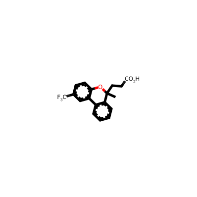 CC1(CCC(=O)O)Oc2ccc(C(F)(F)F)cc2-c2ccccc21